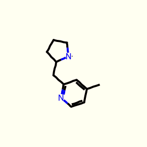 Cc1ccnc(CC2CCC[N]2)c1